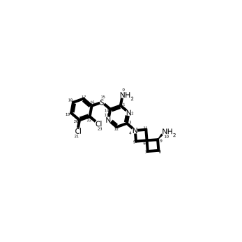 Nc1nc(N2CC3(CC[C@@H]3N)C2)cnc1Sc1cccc(Cl)c1Cl